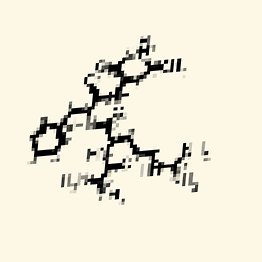 CC(C)CC(NC(=O)C(Cc1ccccc1)NC(=O)C(CCCNC(N)N)NC(=O)C(C)N)C(=O)O